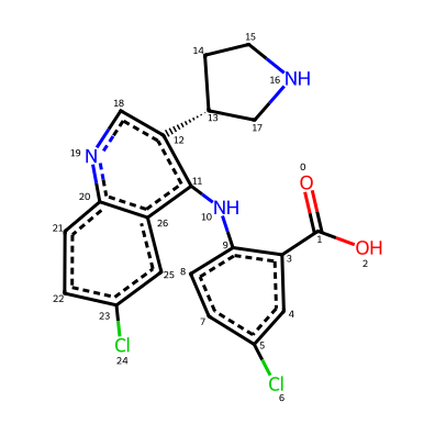 O=C(O)c1cc(Cl)ccc1Nc1c([C@@H]2CCNC2)cnc2ccc(Cl)cc12